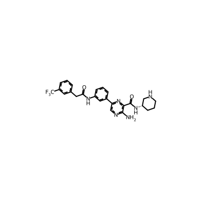 Nc1ncc(-c2cccc(NC(=O)Cc3cccc(C(F)(F)F)c3)c2)nc1C(=O)N[C@H]1CCCNC1